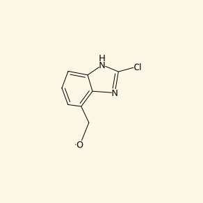 [O]Cc1cccc2[nH]c(Cl)nc12